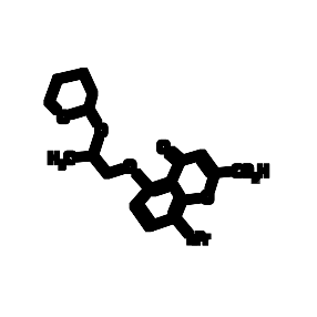 CCCc1ccc(OCC(C)OC2CCCCO2)c2c(=O)cc(C(=O)O)oc12